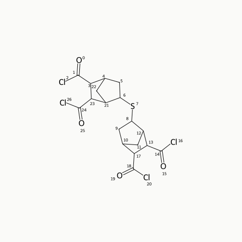 O=C(Cl)C1C2CC(SC3CC4CC3C(C(=O)Cl)C4C(=O)Cl)C(C2)C1C(=O)Cl